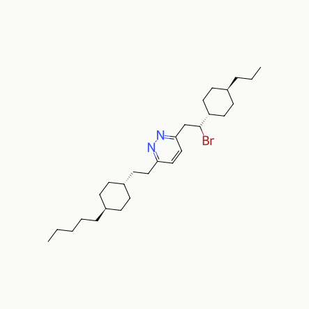 CCCCC[C@H]1CC[C@H](CCc2ccc(CC(Br)[C@H]3CC[C@H](CCC)CC3)nn2)CC1